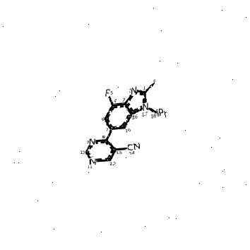 Cc1nc2c(F)cc(-c3ncncc3C#N)cc2n1C(C)C